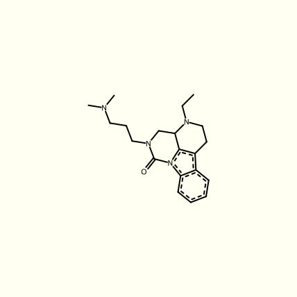 CCN1CCc2c3n(c4ccccc24)C(=O)N(CCCN(C)C)CC31